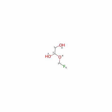 OCC(O)OCF